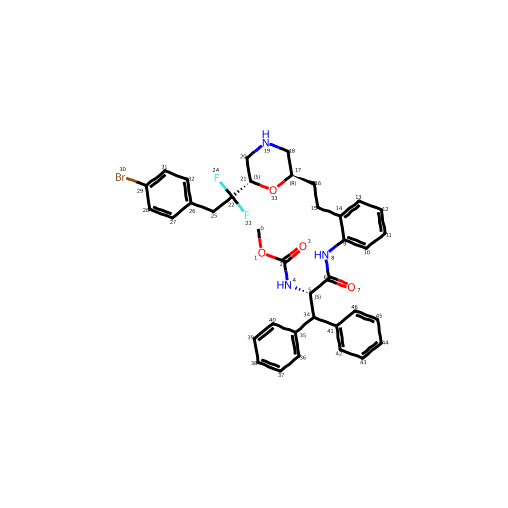 COC(=O)N[C@H](C(=O)Nc1ccccc1CC[C@@H]1CNC[C@@H](C(F)(F)Cc2ccc(Br)cc2)O1)C(c1ccccc1)c1ccccc1